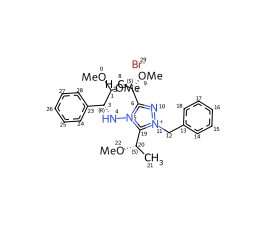 COC(OC)[C@H](Nn1c([C@H](C)OC)n[n+](Cc2ccccc2)c1[C@H](C)OC)c1ccccc1.[Br-]